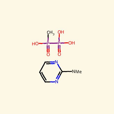 CNc1ncccn1.CP(=O)(O)P(=O)(O)O